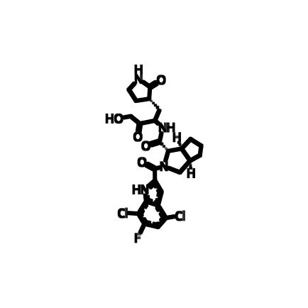 O=C(CO)C(C[C@@H]1CCNC1=O)NC(=O)[C@@H]1[C@H]2CCC[C@H]2CN1C(=O)c1cc2c(Cl)cc(F)c(Cl)c2[nH]1